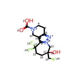 O=C(O)N1CCc2nn3c(c2C1)C(F)(F)CCC(O)(CF)C3